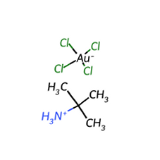 CC(C)(C)[NH3+].[Cl][Au-]([Cl])([Cl])[Cl]